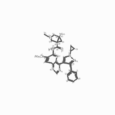 COc1cc2ncnc(-c3cn(C4CC4)nc3-c3ccccc3)c2nc1NC(=O)[C@]12C[C@H]1CN(C)C2